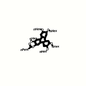 CCCCCCOc1cc2c3cc(OCCCCCC)c(OCCCCCC)cc3c3cc(OC(=O)CCCCC)c(OCCCCCC)cc3c2cc1OCCCCCC